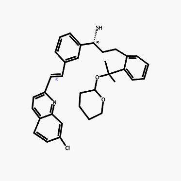 CC(C)(OC1CCCCO1)c1ccccc1CC[C@@H](S)c1cccc(/C=C/c2ccc3ccc(Cl)cc3n2)c1